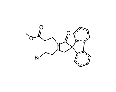 COC(=O)CCNC(=O)C1(CCCCBr)c2ccccc2-c2ccccc21